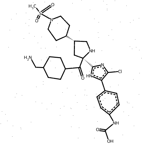 CS(=O)(=O)N1CCC([C@@H]2CN[C@](C(=O)C3CCC(CN)CC3)(c3nc(Cl)c(-c4ccc(NC(=O)O)cc4)[nH]3)C2)CC1